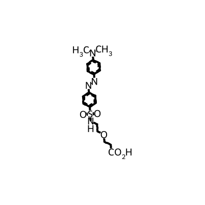 CN(C)c1ccc(/N=N/c2ccc(S(=O)(=O)NCCOCCC(=O)O)cc2)cc1